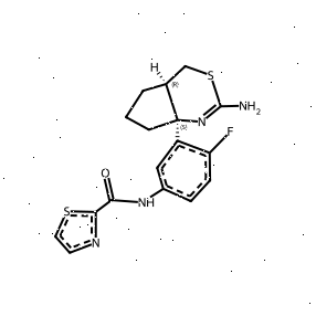 NC1=N[C@@]2(c3cc(NC(=O)c4nccs4)ccc3F)CCC[C@H]2CS1